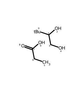 CC(C)(C)C(O)CO.CCC(=O)O